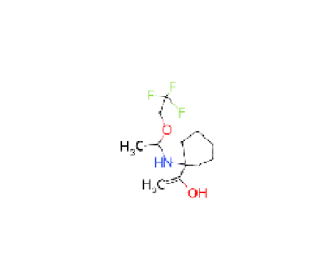 C=C(O)C1(NC(C)OCC(F)(F)F)CCCCC1